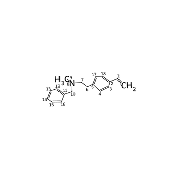 C=Cc1ccc(CCN(C)Cc2ccccc2)cc1